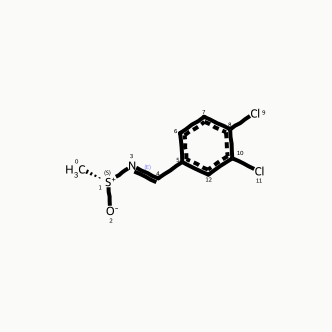 C[S@@+]([O-])/N=C/c1ccc(Cl)c(Cl)c1